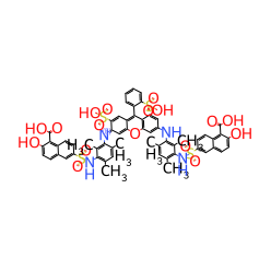 Cc1cc(C)c(NS(=O)(=O)c2ccc3c(C(=O)O)c(O)ccc3c2)c(C)c1/N=c1\cc2oc3cc(Nc4c(C)cc(C)c(NS(=O)(=O)c5ccc6c(C(=O)O)c(O)ccc6c5)c4C)ccc3c(-c3ccccc3S(=O)(=O)O)c-2cc1S(=O)(=O)O